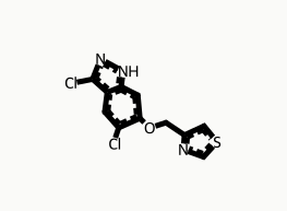 Clc1cc2c(Cl)n[nH]c2cc1OCc1cscn1